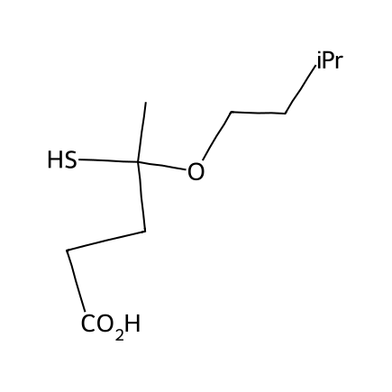 CC(C)CCOC(C)(S)CCC(=O)O